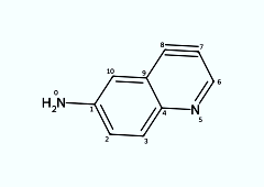 Nc1ccc2ncc#cc2c1